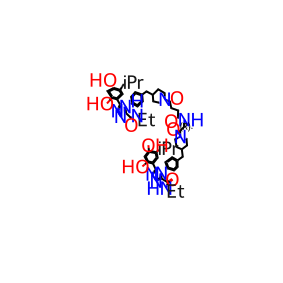 CCNC(=O)c1nnc(-c2cc(C(C)C)c(O)cc2O)n1-c1ccc(CC2CCN(C(=O)CCC(=O)N[C@H](C)C(=O)N3CCC(Cc4ccc(-n5c(C(=O)NCC)nnc5-c5cc(C(C)C)c(O)cc5O)cc4)CC3)CC2)cc1